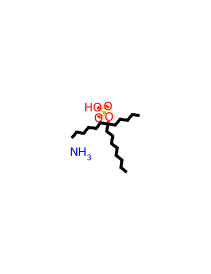 CCCCCCCCC(CCCCC)(CCCCCC)OS(=O)(=O)O.N